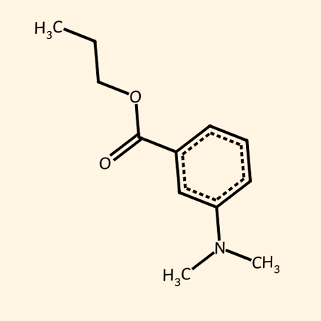 CCCOC(=O)c1cccc(N(C)C)c1